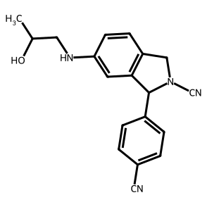 CC(O)CNc1ccc2c(c1)C(c1ccc(C#N)cc1)N(C#N)C2